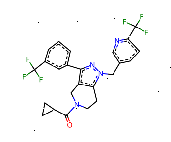 O=C(C1CC1)N1CCc2c(c(-c3cccc(C(F)(F)F)c3)nn2Cc2ccc(C(F)(F)F)nc2)C1